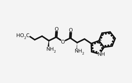 N[C@@H](CCC(=O)O)C(=O)OC(=O)[C@@H](N)Cc1c[nH]c2ccccc12